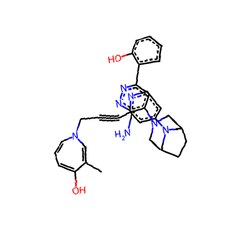 CC1=CN(CC#Cc2cc(N3C4CCC3CN(c3cc(-c5ccccc5O)nnc3N)C4)ccn2)C=CC=C1O